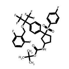 CC(C)(C)OC(=O)NC1CCC(c2ccc(C(OCc3c(F)cccc3F)(C(F)(F)F)C(F)(F)F)cc2)(S(=O)(=O)c2ccc(F)cc2)C1